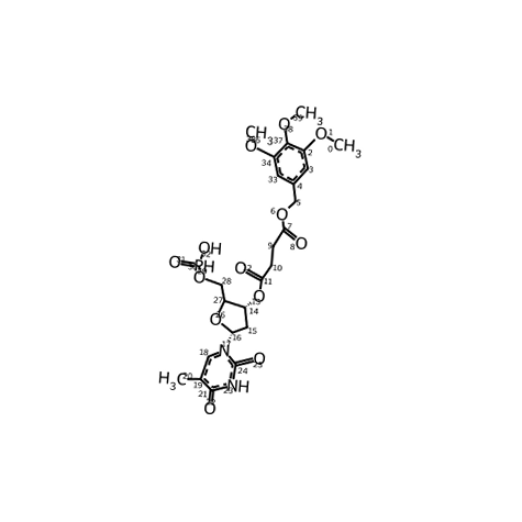 COc1cc(COC(=O)CCC(=O)O[C@@H]2C[C@H](n3cc(C)c(=O)[nH]c3=O)OC2CO[PH](=O)O)cc(OC)c1OC